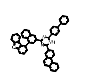 c1ccc(-c2ccc(C3N=C(c4cc(-c5cccc6oc7ccccc7c56)c5ccccc5c4)N=C(c4ccc5c(ccc6ccccc65)c4)N3)cc2)cc1